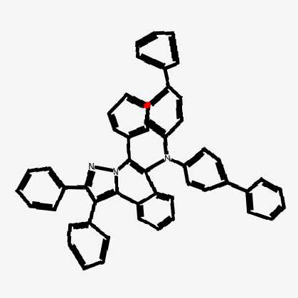 c1ccc(-c2ccc(N(c3ccc(-c4ccccc4)cc3)c3c(-c4ccccc4)n4nc(-c5ccccc5)c(-c5ccccc5)c4c4ccccc34)cc2)cc1